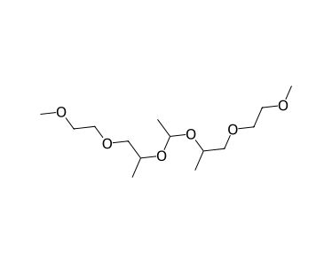 COCCOCC(C)OC(C)OC(C)COCCOC